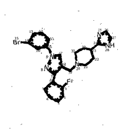 Fc1ccccc1-c1nn(-c2cccc(Br)c2)cc1CN1CCC(c2ncc[nH]2)CC1